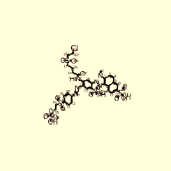 C=Nc1ccc2cc(S(=O)(=O)O)cc(O)c2c1/N=N/c1cc(NC(=O)CCCS(=O)(=O)CCCl)c(/N=N/c2ccc(S(=O)(=O)CCOS(=O)(=O)O)cc2)cc1S(=O)(=O)O